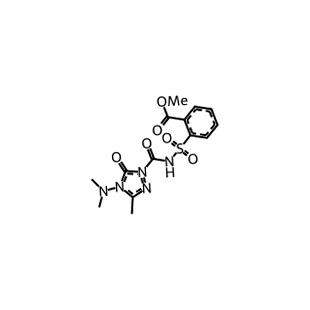 COC(=O)c1ccccc1S(=O)(=O)NC(=O)n1nc(C)n(N(C)C)c1=O